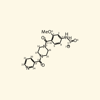 COc1cc(N[SH](=O)=O)ccc1C(=O)N1CCN(C(=O)c2cccnc2)CC1